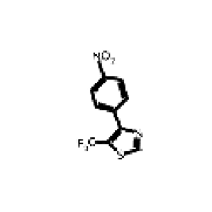 O=[N+]([O-])c1ccc(-c2n[c]sc2C(F)(F)F)cc1